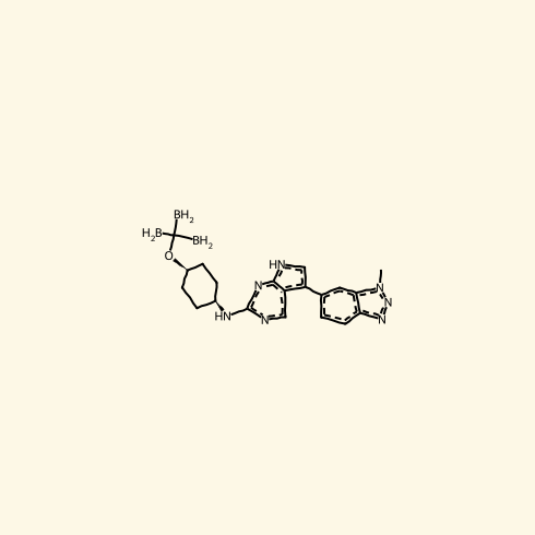 BC(B)(B)O[C@H]1CC[C@@H](Nc2ncc3c(-c4ccc5nnn(C)c5c4)c[nH]c3n2)CC1